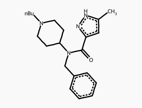 CCCCN1CCC(N(Cc2ccccc2)C(=O)c2cc(C)[nH]n2)CC1